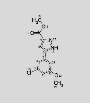 COC(=O)c1cc(-c2cc(Cl)cc(OC)c2)[nH]n1